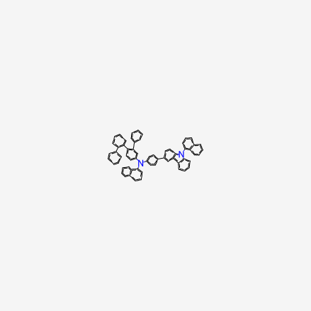 c1ccc(-c2ccccc2-c2ccc(N(c3ccc(-c4ccc5c(c4)c4ccccc4n5-c4cccc5ccccc45)cc3)c3cccc4ccccc34)cc2-c2ccccc2)cc1